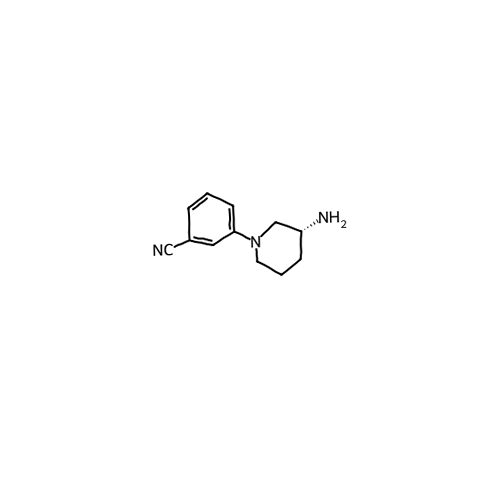 N#Cc1cccc(N2CCC[C@@H](N)C2)c1